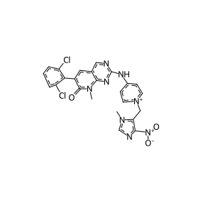 Cn1cnc([N+](=O)[O-])c1C[n+]1ccc(Nc2ncc3cc(-c4c(Cl)cccc4Cl)c(=O)n(C)c3n2)cc1